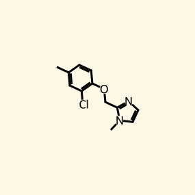 Cc1ccc(OCc2nccn2C)c(Cl)c1